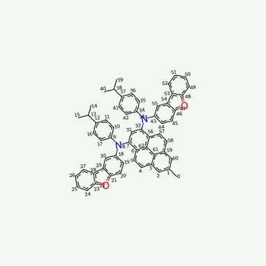 Cc1cc2ccc3c(N(c4ccc(C(C)C)cc4)c4ccc5oc6ccccc6c5c4)cc(N(c4ccc(C(C)C)cc4)c4ccc5oc6ccccc6c5c4)c4ccc(c1)c2c34